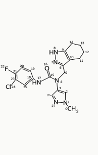 Cn1cc(N(Cc2n[nH]c3c2CCCC3)C(=O)Nc2ccc(F)c(Cl)c2)cn1